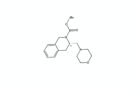 CC(C)(C)OC(=O)N1Cc2ccccc2C[C@H]1CN1CCOCC1